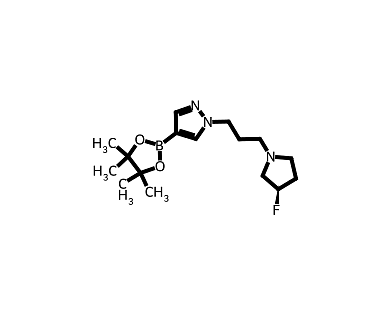 CC1(C)OB(c2cnn(CCCN3CC[C@@H](F)C3)c2)OC1(C)C